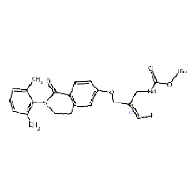 Cc1cccc(C)c1N1CCc2cc(OC/C(=C/F)CNC(=O)OC(C)(C)C)ccc2C1=O